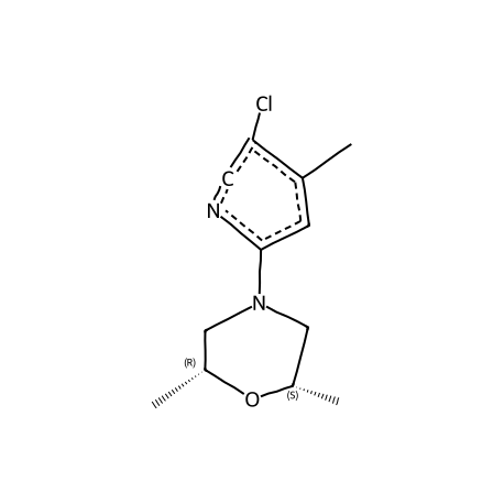 Cc1cc(N2C[C@@H](C)O[C@@H](C)C2)ncc1Cl